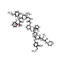 CCc1ccc(C[C@H](NC(=O)[C@H](C)NC(=O)CN2CCOCC2)C(=O)N[C@@H](CC2=CCCC2)C(=O)[C@@]2(CC3CN(CC(=O)N[C@@H](CO)C(=O)N[C@@H](Cc4ccc(OC)cc4)C(=O)N[C@@H](Cc4ccccc4)C(=O)[C@@]4(C)CO4)CCO3)CO2)cc1O